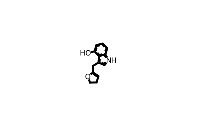 Oc1cccc2[nH]cc(CC3=CCCO3)c12